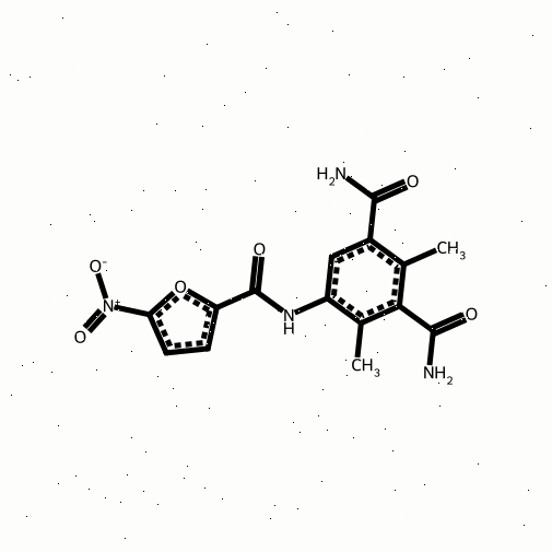 Cc1c(NC(=O)c2ccc([N+](=O)[O-])o2)cc(C(N)=O)c(C)c1C(N)=O